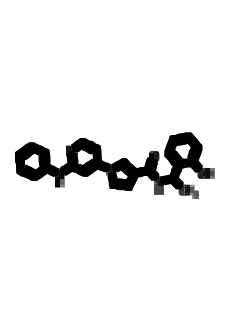 CC(NC(=O)c1ccn(-c2ccnc(Nc3ccccc3)c2)c1)c1ccccc1O